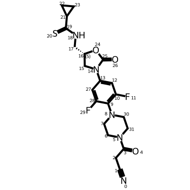 N#CCC(=O)N1CCN(c2c(F)cc(N3C[C@H](CNC(=S)C4CC4)OC3=O)cc2F)CC1